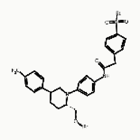 CCS(=O)(=O)c1ccc(CC(=O)Nc2ccc(N3CC(c4ccc(C(F)(F)F)cc4)CC[C@H]3COC(C)C)cc2)cc1